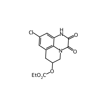 CCOC(=O)OC1Cc2cc(Cl)cc3[nH]c(=O)c(=O)n(c23)C1